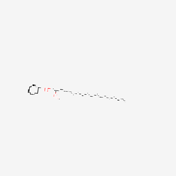 CCCCCCCCCCCCCCCCC(COCc1ccccc1)OC